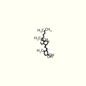 C=C1CCC(O)(O)C/C1=C/C=C1CCC[C@@]2(C)C1CC[C@@H]2[C@H](C)CCCC(C)C